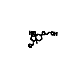 C[C@]12CC[C@H](OCCO)C[C@@]1(O)CC[C@@H]2C=O